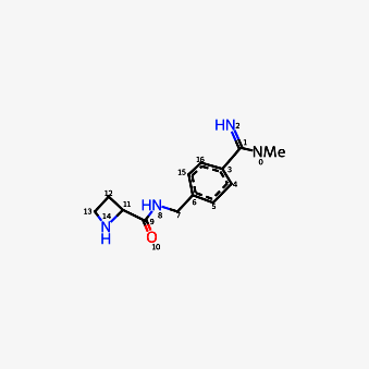 CNC(=N)c1ccc(CNC(=O)C2CCN2)cc1